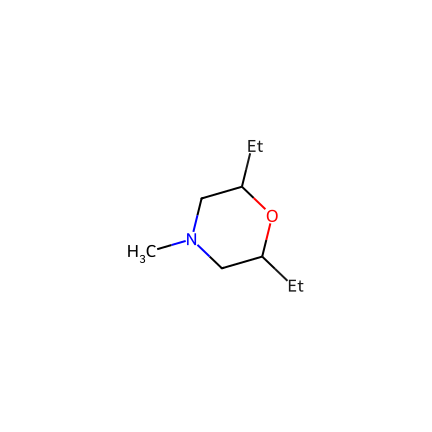 CCC1CN(C)CC(CC)O1